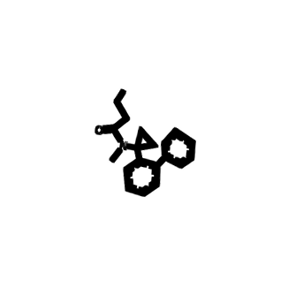 CCCC(=O)N(C)C1(c2ccccc2-c2ccccc2)CC1